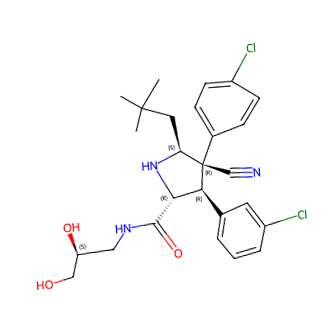 CC(C)(C)C[C@@H]1N[C@@H](C(=O)NC[C@H](O)CO)[C@H](c2cccc(Cl)c2)[C@@]1(C#N)c1ccc(Cl)cc1